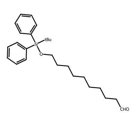 CC(C)(C)[Si](OCC[CH]CCCCCCC=O)(c1ccccc1)c1ccccc1